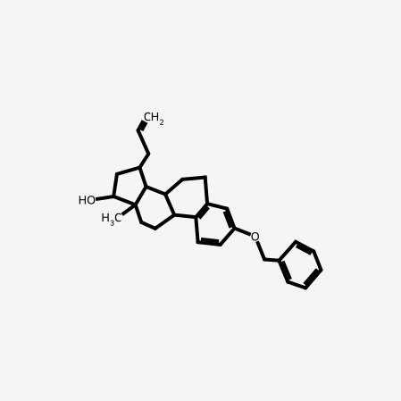 C=CCC1CC(O)C2(C)CCC3c4ccc(OCc5ccccc5)cc4CCC3C12